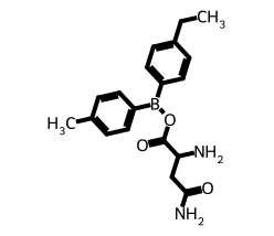 CCc1ccc(B(OC(=O)C(N)CC(N)=O)c2ccc(C)cc2)cc1